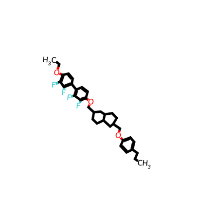 CCCc1ccc(OCC2CCC3CC(COc4ccc(-c5ccc(OCC)c(F)c5F)c(F)c4F)CCC3C2)cc1